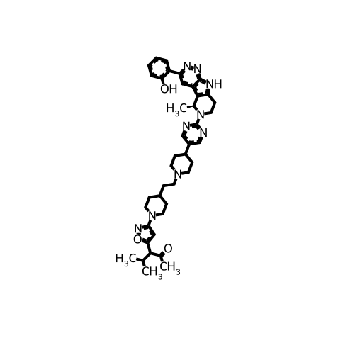 CC(=O)C(c1cc(N2CCC(CCN3CCC(c4cnc(N5CCc6[nH]c7nnc(-c8ccccc8O)cc7c6[C@@H]5C)nc4)CC3)CC2)no1)C(C)C